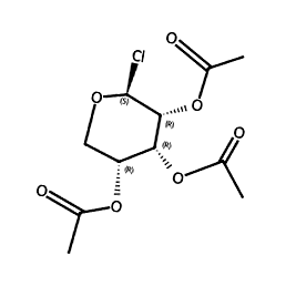 CC(=O)O[C@@H]1[C@H](OC(C)=O)[C@H](OC(C)=O)CO[C@H]1Cl